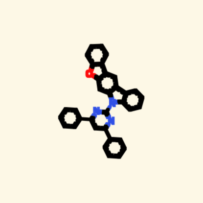 c1ccc(-c2cc(-c3ccccc3)nc(-n3c4ccccc4c4cc5c(cc43)oc3ccccc35)n2)cc1